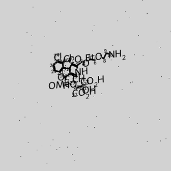 CCOC(=O)C1=C(COCCOCCN)NC(C)=C(C(=O)OC)C1c1cccc(Cl)c1Cl.O=C(O)[C@H](O)[C@@H](O)C(=O)O